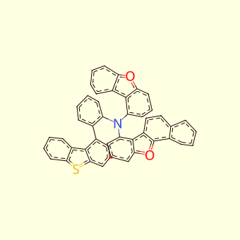 c1ccc(N(c2cccc3oc4ccccc4c23)c2cccc3oc4c5ccccc5ccc4c23)c(-c2cccc3sc4ccccc4c23)c1